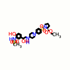 CCOC(=O)[C@H]1CCCN1S(=O)(=O)c1ccc(N2CCC(NC[C@H](O)c3ccc(O)c(NS(C)(=O)=O)c3)CC2)cc1